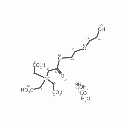 N.O.O.O.O=C(O)C[N+](CC(=O)O)(CC(=O)O)CC(=O)OCCOCCO